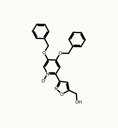 [O-][n+]1cc(OCc2ccccc2)c(OCc2ccccc2)cc1-c1cc(CO)on1